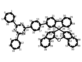 c1ccc(-c2nc(-c3ccccc3)nc(-c3ccc(-c4ccc5c(c4)C4(c6ccccc6-5)c5ccc6ccccc6c5Oc5c4ccc4ccccc54)cc3)n2)cc1